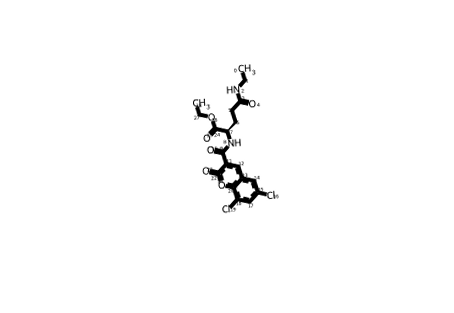 CCNC(=O)CC[C@@H](NC(=O)c1cc2cc(Cl)cc(Cl)c2oc1=O)C(=O)OCC